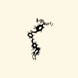 N=C(N)c1ccc(CC[C@@H]2CCC[C@H](CCc3ccc(C4CCNC4)cc3)C2)cc1